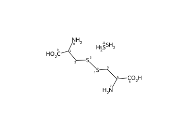 NC(CSSCC(N)C(=O)O)C(=O)O.S.S